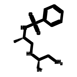 CC(C)[C@@H](CN)NC[C@H](C)NS(=O)(=O)c1ccccc1